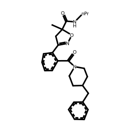 CCCNC(=O)C1(C)CC(c2ccccc2C(=O)N2CCC(Cc3ccccc3)CC2)=NO1